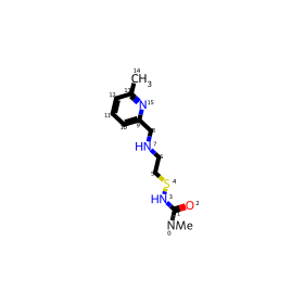 CNC(=O)NSCCNCc1cccc(C)n1